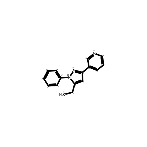 CCc1cc(-c2cccnc2)nn1-c1cc[c]cc1